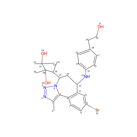 Cc1nnn2c1-c1ccc(Br)cc1C(Nc1ccc(CCO)cc1)CC2C(C)C(C)(O)C(C)(C)O